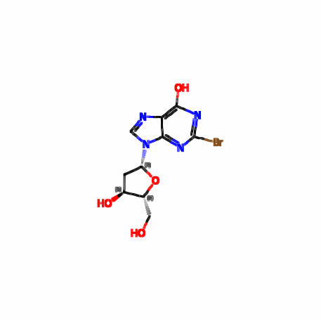 OC[C@H]1O[C@@H](n2cnc3c(O)nc(Br)nc32)C[C@@H]1O